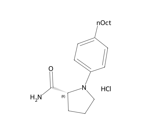 CCCCCCCCc1ccc(N2CCC[C@@H]2C(N)=O)cc1.Cl